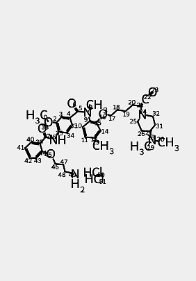 COc1cc(C(=O)N(C)c2ccc(C)cc2OCCCCC(=C=O)N2CCC(N(C)C)CC2)ccc1NC(=O)c1ccccc1OCCCN.Cl.Cl